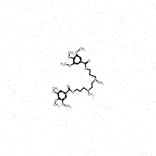 COc1cc(C(=O)OCCCN(C)CCN(C)CCCOC(=O)c2cc(OC)c(OC)c(OC)c2)cc(OC)c1OC